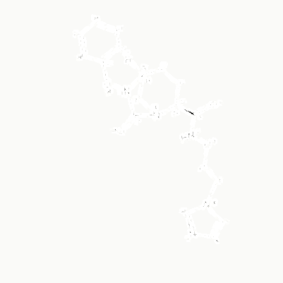 O=C(NOCCn1ccnc1)[C@@H]1CC[C@H]2CN1C(=O)N2Oc1ccccc1